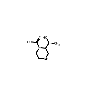 C[C@H](O)C1CNCCN1C(=O)O